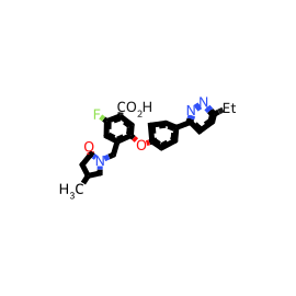 CCc1ccc(-c2ccc(Oc3cc(C(=O)O)c(F)cc3CN3CC(C)CC3=O)cc2)nn1